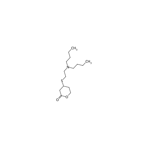 CCCCN(CCCC)CCSC1CCOC(=O)C1